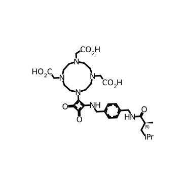 CC(C)C[C@H](C)C(=O)NCc1ccc(CNc2c(N3CCN(CC(=O)O)CCN(CC(=O)O)CCN(CC(=O)O)CC3)c(=O)c2=O)cc1